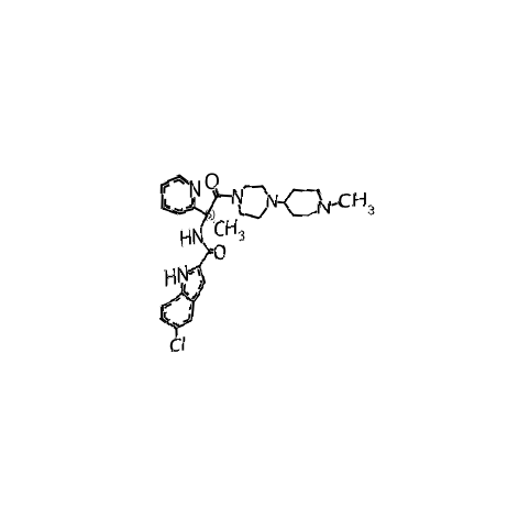 CN1CCC(N2CCN(C(=O)[C@@](C)(NC(=O)c3cc4cc(Cl)ccc4[nH]3)c3ccccn3)CC2)CC1